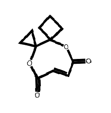 O=C1/C=C/C(=O)OC2(CC2)C2(CCC2)O1